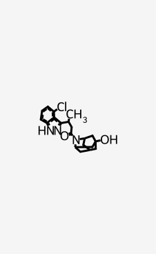 CC(CC(=O)N1C2CC3CC1CC(O)(C3)C2)c1n[nH]c2cccc(Cl)c12